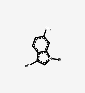 CCCc1cn(CC)c2cc(C(F)(F)F)ccc12